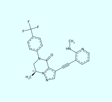 CNc1ncccc1C#Cc1cnn2c1C(=O)N(c1ccc(C(F)(F)F)cc1)C[C@@H]2C